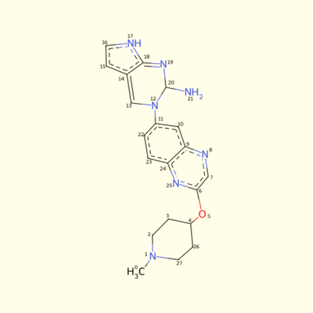 CN1CCC(Oc2cnc3cc(N4C=c5cc[nH]c5=NC4N)ccc3n2)CC1